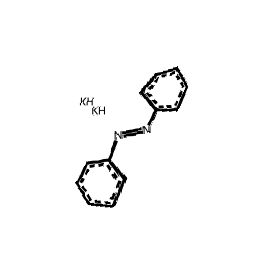 [KH].[KH].c1ccc(N=Nc2ccccc2)cc1